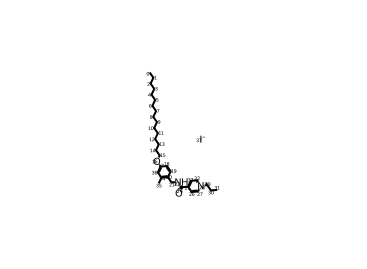 CCCCCCCCCCCCCCCCOc1ccc(CNC(=O)c2cc[n+](CCC)cc2)c(C)c1.[I-]